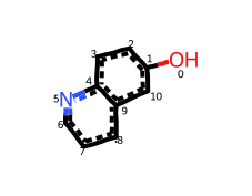 Oc1ccc2ncc[c]c2c1